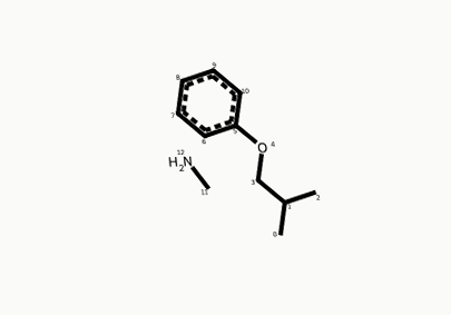 CC(C)COc1ccccc1.CN